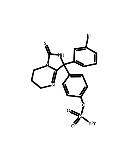 CCCS(=O)(=O)Oc1ccc(C2(c3cccc(Br)c3)NC(=S)N3CCCN=C32)cc1